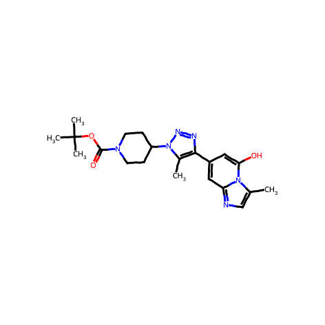 Cc1c(-c2cc(O)n3c(C)cnc3c2)nnn1C1CCN(C(=O)OC(C)(C)C)CC1